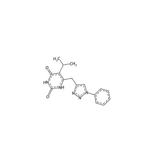 CC(C)c1c(Cc2cn(-c3ccccc3)nn2)[nH]c(=O)[nH]c1=O